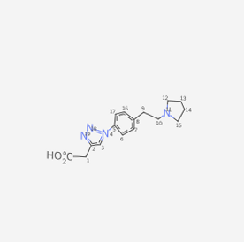 O=C(O)Cc1cn(-c2ccc(CCN3CCCC3)cc2)nn1